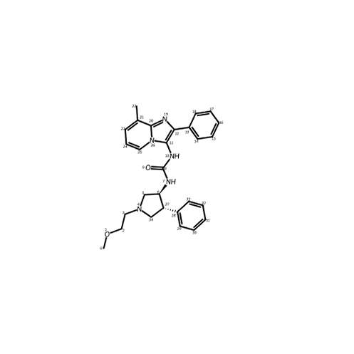 COCCN1C[C@@H](NC(=O)Nc2c(-c3ccccc3)nc3c(C)cccn23)[C@H](c2ccccc2)C1